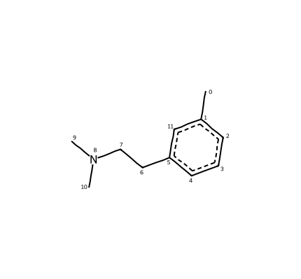 Cc1cccc(CCN(C)C)c1